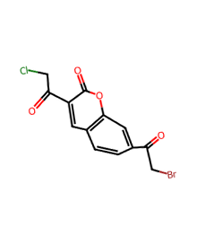 O=C(CBr)c1ccc2cc(C(=O)CCl)c(=O)oc2c1